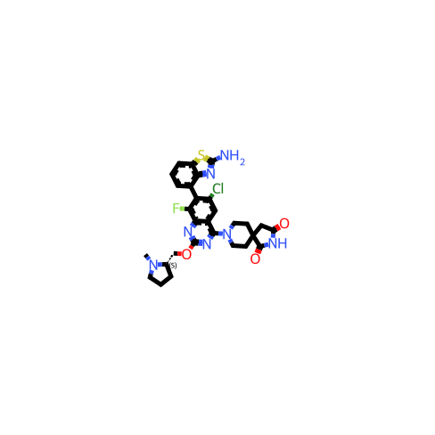 CN1CCC[C@H]1COc1nc(N2CCC3(CC2)CC(=O)NC3=O)c2cc(Cl)c(-c3cccc4sc(N)nc34)c(F)c2n1